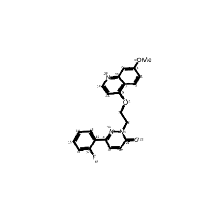 COc1ccc2c(OCCn3nc(-c4ccccc4F)ccc3=O)ccnc2c1